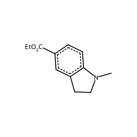 CCOC(=O)c1ccc2c(c1)CCN2C